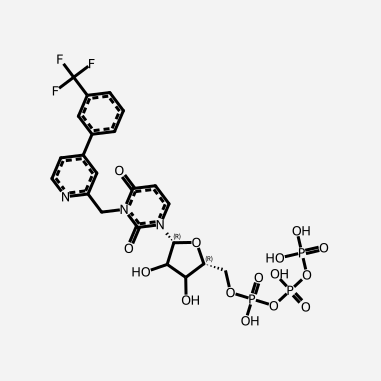 O=c1ccn([C@@H]2O[C@H](COP(=O)(O)OP(=O)(O)OP(=O)(O)O)C(O)C2O)c(=O)n1Cc1cc(-c2cccc(C(F)(F)F)c2)ccn1